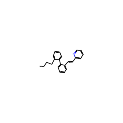 CCCCc1ccccc1-c1ccccc1C=Cc1ccccn1